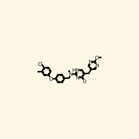 COc1ncc(Cc2c[nH]c(N(C)Cc3ccc(Oc4ccc(Cl)c(C)c4)cc3)nc2=O)cn1